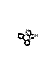 c1ccc(-c2ccccc2)cc1.c1ncc2[nH]cnc2n1